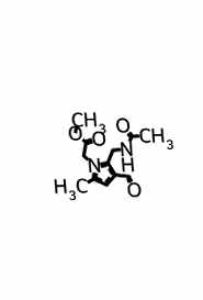 COC(=O)Cn1c(C)cc(C=O)c1CNC(C)=O